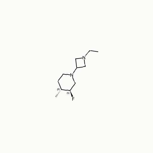 CCN1CC(N2CC[C@@H](C)[C@H](F)C2)C1